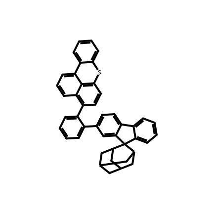 c1ccc2c(c1)Sc1ccc(-c3ccccc3-c3ccc4c(c3)C3(c5ccccc5-4)C4CC5CC(C4)CC3C5)c3cccc-2c13